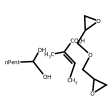 C(OCC1CO1)C1CO1.CC=C(C)C(=O)O.CCCCCC(O)O